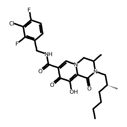 CCCC[C@@H](C)CN1C(=O)c2c(O)c(=O)c(C(=O)NCc3ccc(F)c(Cl)c3F)cn2CC1C